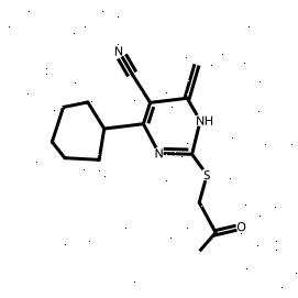 C=C1NC(SCC(C)=O)=NC(C2CCCCC2)=C1C#N